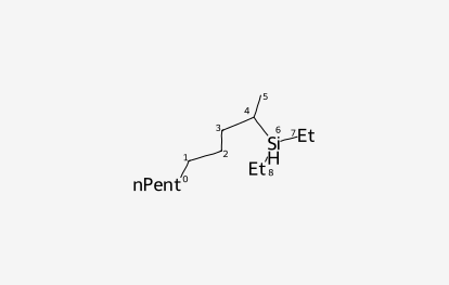 CCCCCCCCC(C)[SiH](CC)CC